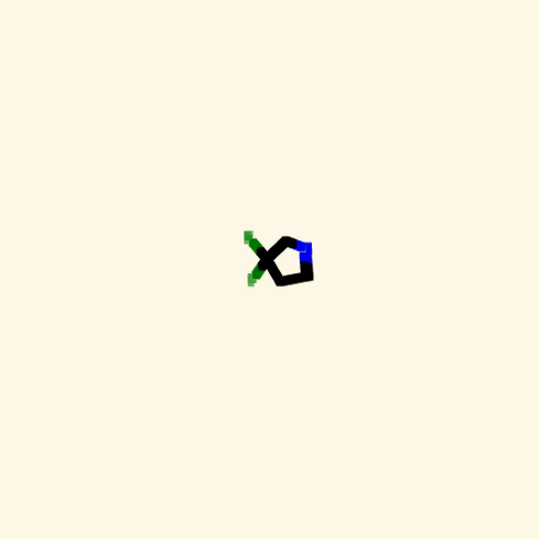 FC1(F)CC=NC1